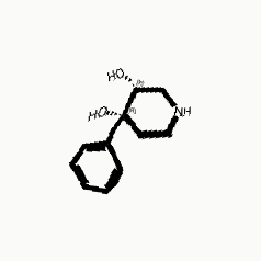 O[C@@H]1CNCC[C@@]1(O)c1ccccc1